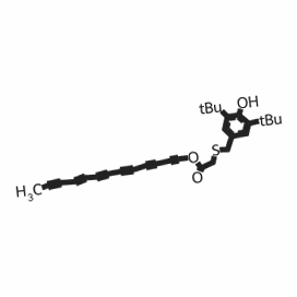 CC#CC#CC#CC#CC#CC#COC(=O)CSCc1cc(C(C)(C)C)c(O)c(C(C)(C)C)c1